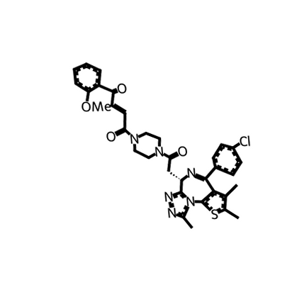 COc1ccccc1C(=O)/C=C/C(=O)N1CCN(C(=O)C[C@@H]2N=C(c3ccc(Cl)cc3)c3c(sc(C)c3C)-n3c(C)nnc32)CC1